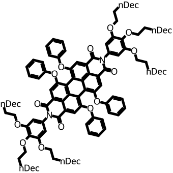 CCCCCCCCCCCCOc1cc(N2C(=O)c3cc(Oc4ccccc4)c4c5c(Oc6ccccc6)cc6c7c(cc(Oc8ccccc8)c(c8c(Oc9ccccc9)cc(c3c48)C2=O)c75)C(=O)N(c2cc(OCCCCCCCCCCCC)c(OCCCCCCCCCCCC)c(OCCCCCCCCCCCC)c2)C6=O)cc(OCCCCCCCCCCCC)c1OCCCCCCCCCCCC